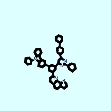 c1ccc(-c2ccc(-c3cc(-c4cc(-c5ccc6c(c5)c5ccccc5n6-c5ccccc5)cc(-c5ccc6ccc7cccnc7c6n5)c4)nc(-c4ccccc4)n3)cc2)cc1